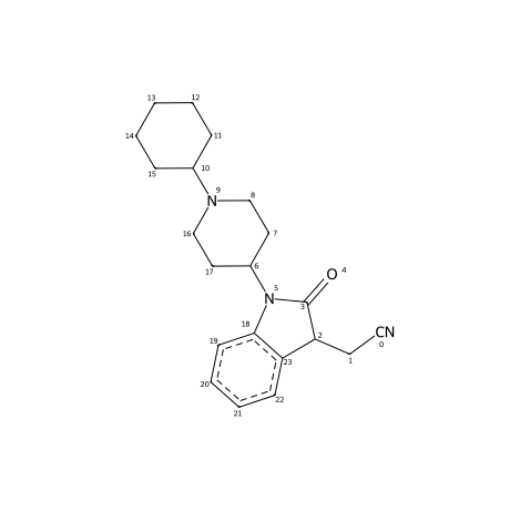 N#CCC1C(=O)N(C2CCN(C3CCCCC3)CC2)c2ccccc21